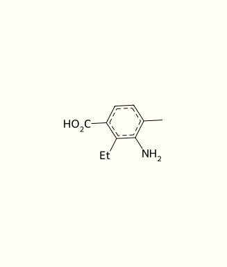 CCc1c(C(=O)O)ccc(C)c1N